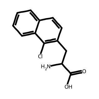 NC(Cc1ccc2ccccc2c1Cl)C(=O)O